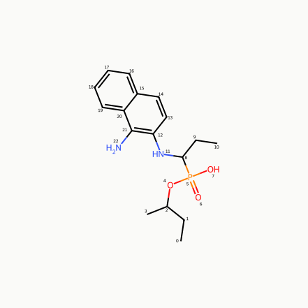 CCC(C)OP(=O)(O)C(CC)Nc1ccc2ccccc2c1N